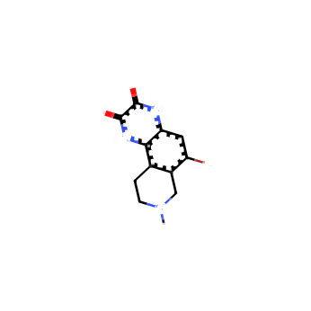 CCN1CCc2c(c(Br)cc3[nH]c(=O)c(=O)[nH]c23)C1